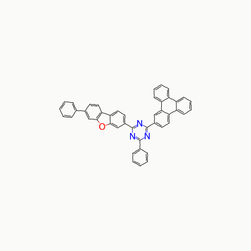 c1ccc(-c2ccc3c(c2)oc2cc(-c4nc(-c5ccccc5)nc(-c5ccc6c7ccccc7c7ccccc7c6c5)n4)ccc23)cc1